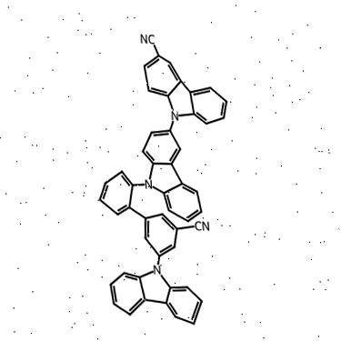 N#Cc1cc(-c2ccccc2-n2c3ccccc3c3cc(-n4c5ccccc5c5cc(C#N)ccc54)ccc32)cc(-n2c3ccccc3c3ccccc32)c1